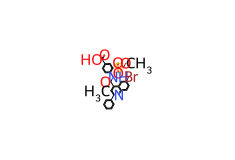 COCS(=O)(=O)c1cc(C(=O)O)ccc1NC(=O)c1c(C)c(-c2ccccc2)nc2ccc(Br)cc12